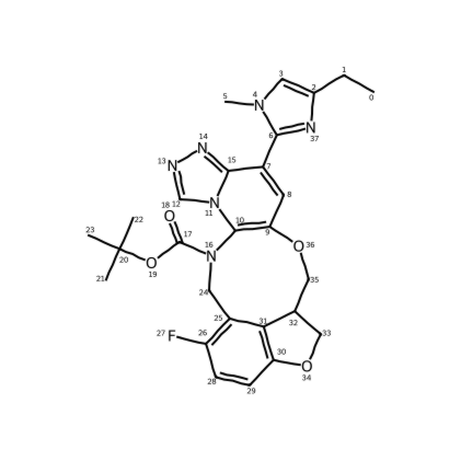 CCc1cn(C)c(-c2cc3c(n4cnnc24)N(C(=O)OC(C)(C)C)Cc2c(F)ccc4c2C(CO4)CO3)n1